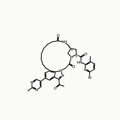 CC(=O)c1nn2c3c(cc(-c4cnc(C)nc4)cc13)CCCCCCCC(=O)NC[C@]1(C)C[C@@H](C(=O)Nc3nc(Br)ccc3C)N(C1)C(=O)C2